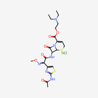 CCN(CC)CCOC(=O)C1=CCSC2C(NC(=O)/C(=N\OC)c3csc(NC(C)=O)n3)C(=O)N12.Cl